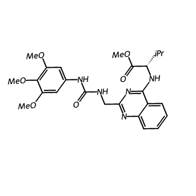 COC(=O)[C@@H](Nc1nc(CNC(=O)Nc2cc(OC)c(OC)c(OC)c2)nc2ccccc12)C(C)C